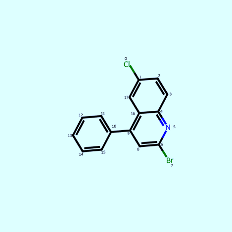 Clc1ccc2nc(Br)cc(-c3ccccc3)c2c1